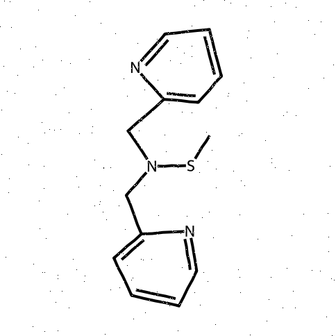 CSN(Cc1ccccn1)Cc1ccccn1